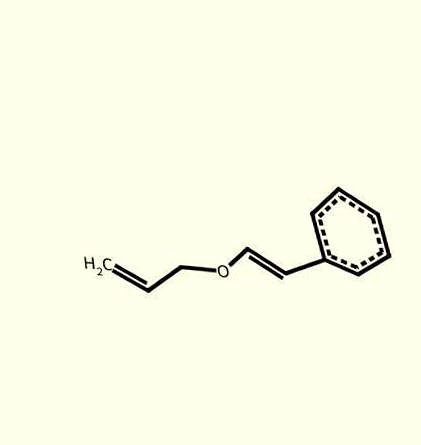 C=CCOC=Cc1ccccc1